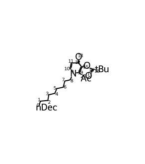 CCCCCCCCCCCCCCCCCCn1ccc(=O)c(OC(=O)C(C)(C)C)c1C(C)=O